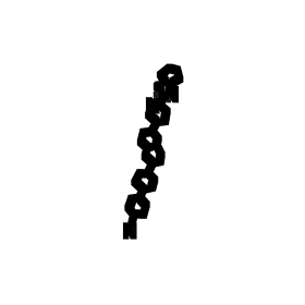 N#Cc1ccc(-c2ccc(-c3ccc4cc(-c5ccc(-c6nc7ccccc7s6)nc5)ccc4c3)cc2)cc1